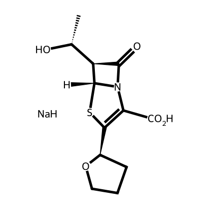 C[C@@H](O)[C@H]1C(=O)N2C(C(=O)O)=C([C@H]3CCCO3)S[C@H]12.[NaH]